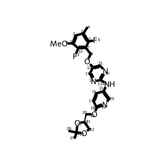 COc1cc(C)c(F)c(COc2cnc(Nc3ccc(OC[C@H]4COC(C)(C)O4)nc3)nc2)c1F